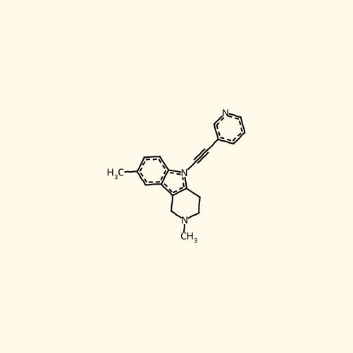 Cc1ccc2c(c1)c1c(n2C#Cc2cccnc2)CCN(C)C1